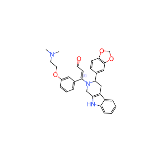 CN(C)CCOc1cccc(/C(=C\C=O)N2Cc3[nH]c4ccccc4c3CC2c2ccc3c(c2)OCO3)c1